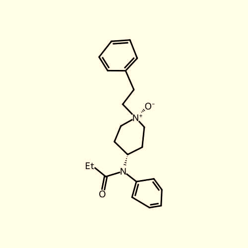 CCC(=O)N(c1ccccc1)[C@H]1CC[N@+]([O-])(CCc2ccccc2)CC1